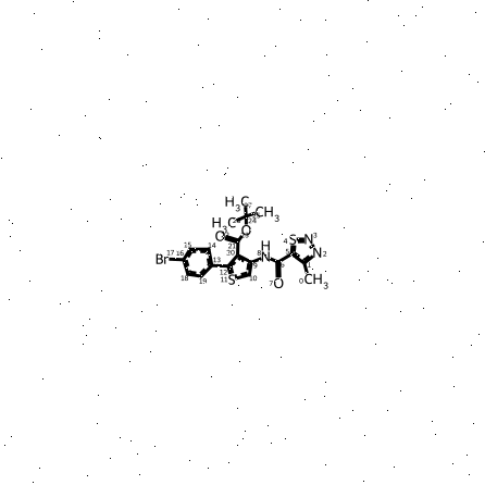 Cc1nnsc1C(=O)Nc1csc(-c2ccc(Br)cc2)c1C(=O)OC(C)(C)C